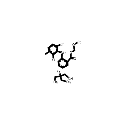 CCC(CO)(CO)CO.CCOCOC(=O)c1ccccc1Nc1c(Cl)ccc(C)c1Cl